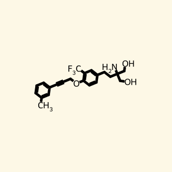 Cc1cccc(C#CCOc2ccc(CCC(N)(CO)CO)cc2C(F)(F)F)c1